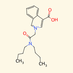 CCCCN(CCCC)C(=O)C[n+]1cc(C(=O)O)c2ccccc2c1